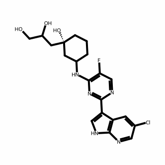 OCC(O)C[C@@]1(O)CCCC(Nc2nc(-c3c[nH]c4ncc(Cl)cc34)ncc2F)C1